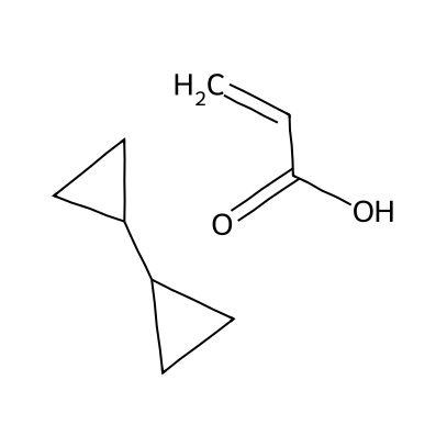 C1CC1C1CC1.C=CC(=O)O